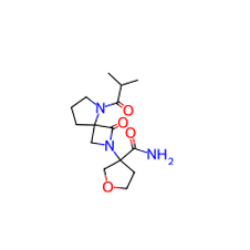 CC(C)C(=O)N1CCCC12CN(C1(C(N)=O)CCOC1)C2=O